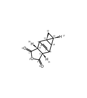 O=C1OC(=O)[C@H]2C3C=CC([C@@H]12)[C@]12C[C@@H]1C32